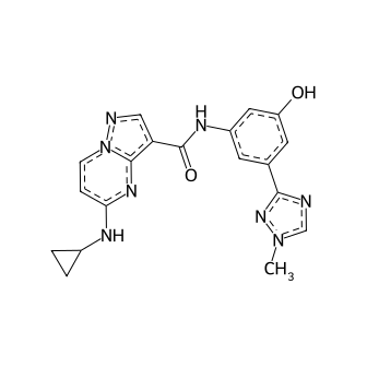 Cn1cnc(-c2cc(O)cc(NC(=O)c3cnn4ccc(NC5CC5)nc34)c2)n1